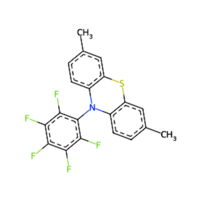 Cc1ccc2c(c1)Sc1cc(C)ccc1N2c1c(F)c(F)c(F)c(F)c1F